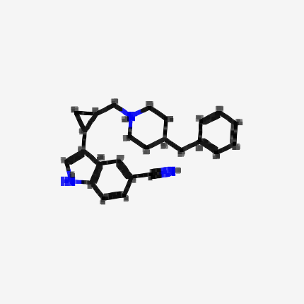 N#Cc1ccc2[nH]cc(C3CC3CN3CCC(Cc4ccccc4)CC3)c2c1